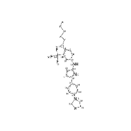 CCCCCOc1ccc(Nc2nc(-c3ccc(N4CCCC4)cc3)cs2)cc1C(F)(F)F